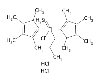 CC[CH2][Ti](=[SiH2])([Cl])([C]1=C(C)C(C)=C(C)C1C)[C]1=C(C)C(C)=C(C)C1C.Cl.Cl